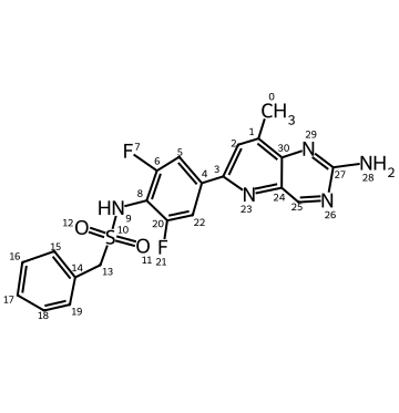 Cc1cc(-c2cc(F)c(NS(=O)(=O)Cc3ccccc3)c(F)c2)nc2cnc(N)nc12